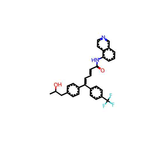 CC(O)Cc1ccc(C(=CC=CC(=O)Nc2cccc3cnccc23)c2ccc(C(F)(F)F)cc2)cc1